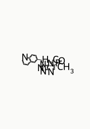 CP(C)(=O)c1cnc2nnn(Cc3ccc4ncccc4c3)c2n1